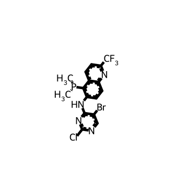 CP(C)c1c(Nc2nc(Cl)ncc2Br)ccc2nc(C(F)(F)F)ccc12